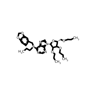 CCCOC[C@H]1O[C@@H](n2cnc3c(N(CCC)Cc4ccc5c(c4)OCO5)ncnc32)C(OCCC)C1OCCC